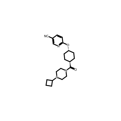 N#Cc1ccc(O[C@H]2CC[C@H](C(=O)N3CCN(C4CCC4)CC3)CC2)nc1